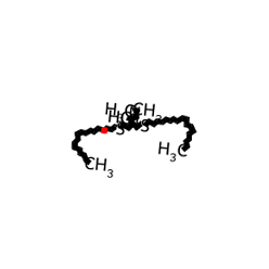 CCCCC/C=C\C/C=C\CCCCCCCCSCCN(CCSCCCCCCCC/C=C\C/C=C\CCCCC)C(O)CN(C)C